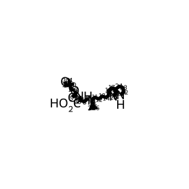 CC1(COC(=O)N[C@@H](CCN(CCCCc2ccc3c(n2)NCCC3)C2CC2)C(=O)O)COC1